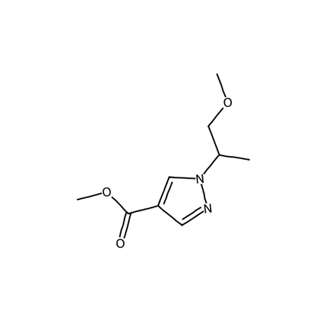 COCC(C)n1cc(C(=O)OC)cn1